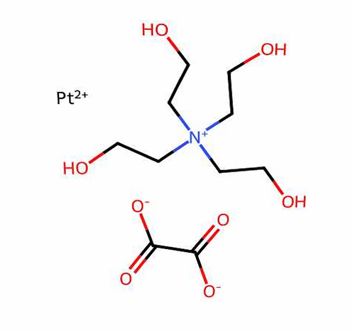 O=C([O-])C(=O)[O-].OCC[N+](CCO)(CCO)CCO.[Pt+2]